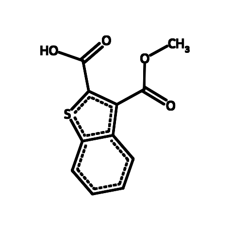 COC(=O)c1c(C(=O)O)sc2ccccc12